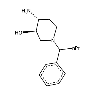 CCCC(c1ccccc1)N1CC[C@@H](N)[C@H](O)C1